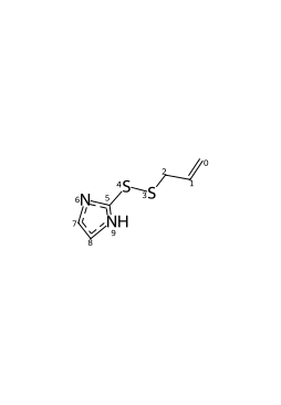 C=CCSSc1ncc[nH]1